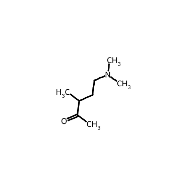 CC(=O)C(C)CCN(C)C